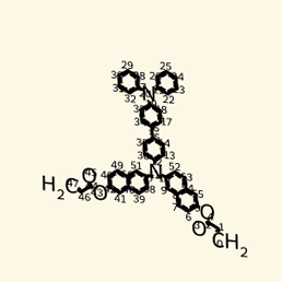 C=CC(=O)Oc1ccc2cc(N(c3ccc(-c4ccc(N(c5ccccc5)c5ccccc5)cc4)cc3)c3ccc4cc(OC(=O)C=C)ccc4c3)ccc2c1